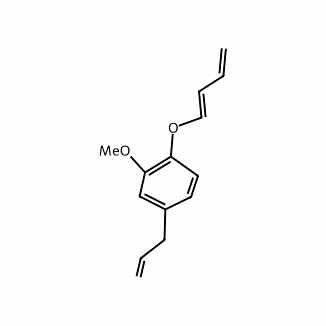 C=CC=COc1ccc(CC=C)cc1OC